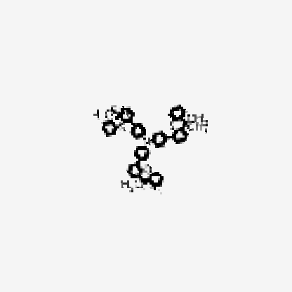 CC1(C)c2ccccc2Oc2c(-c3ccc(N(c4ccc(-c5cccc6c5Sc5ccccc5C6(C)C)cc4)c4ccc(-c5cccc6c5Sc5ccccc5[Si]6(C)C)cc4)cc3)cccc21